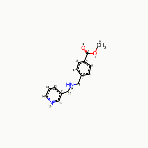 COC(=O)c1ccc(CNCc2cccnc2)cc1